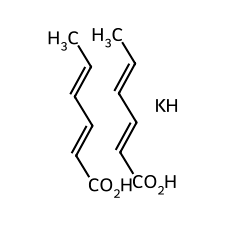 CC=CC=CC(=O)O.CC=CC=CC(=O)O.[KH]